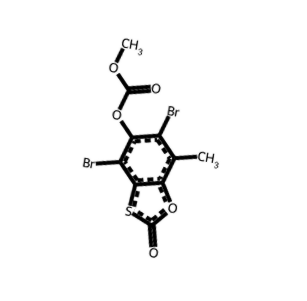 COC(=O)Oc1c(Br)c(C)c2oc(=O)sc2c1Br